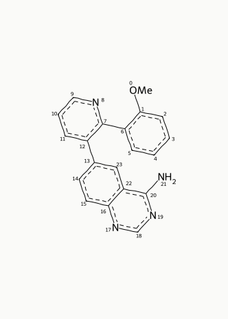 COc1ccccc1-c1ncccc1-c1ccc2ncnc(N)c2c1